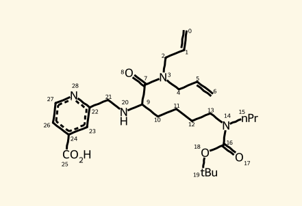 C=CCN(CC=C)C(=O)C(CCCCN(CCC)C(=O)OC(C)(C)C)NCc1cc(C(=O)O)ccn1